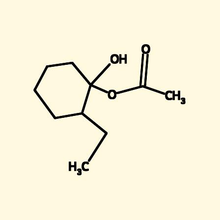 CCC1CCCCC1(O)OC(C)=O